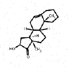 C[C@]12CCCCC1=CC[C@@H]1[C@H]2CC[C@]2(C)C(=O)C(O)C[C@@H]12